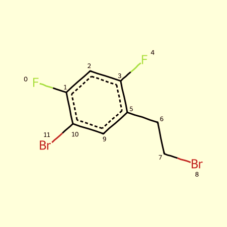 Fc1cc(F)c(CCBr)cc1Br